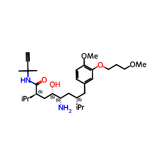 C#CC(C)(C)NC(=O)[C@@H](C[C@H](O)[C@@H](N)C[C@H](Cc1ccc(OC)c(OCCCOC)c1)C(C)C)C(C)C